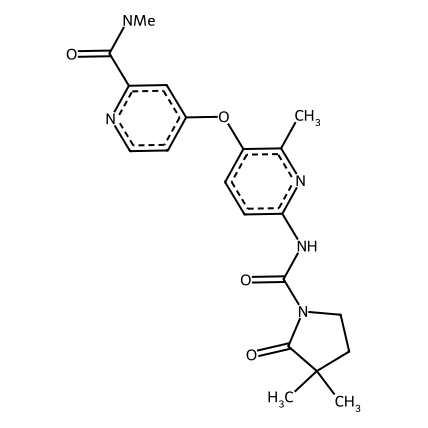 CNC(=O)c1cc(Oc2ccc(NC(=O)N3CCC(C)(C)C3=O)nc2C)ccn1